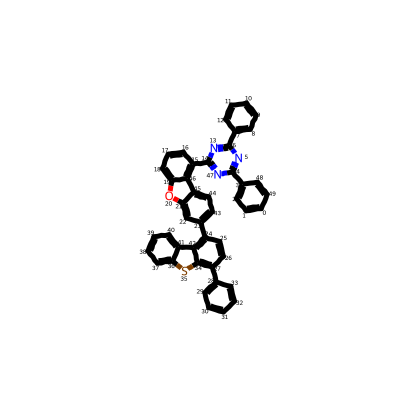 c1ccc(-c2nc(-c3ccccc3)nc(-c3cccc4oc5cc(-c6ccc(-c7ccccc7)c7sc8ccccc8c67)ccc5c34)n2)cc1